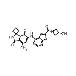 Cc1cc(Nc2ncnc3sc(C(=O)N4CC(C#N)C4)cc23)c(=O)n2c1C(=O)NC21CCC1